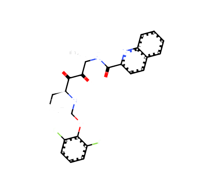 CC(C)[C@H](NC(=O)c1ccc2ccccc2n1)C(=O)C(=O)[C@H](CC(=O)O)NCOc1c(F)cccc1F